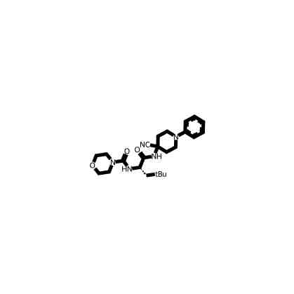 CC(C)(C)C[C@H](NC(=O)N1CCOCC1)C(=O)NC1(C#N)CCN(c2ccccc2)CC1